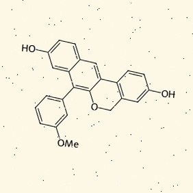 COc1cccc(-c2c3c(cc4ccc(O)cc24)-c2ccc(O)cc2CO3)c1